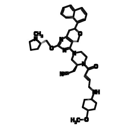 COC1CCC(NC/C=C/C(=O)N2CCN(c3nc(OC[C@@H]4CCCN4C)nc4c3COC(c3cccc5ccccc35)C4)C[C@@H]2CC#N)CC1